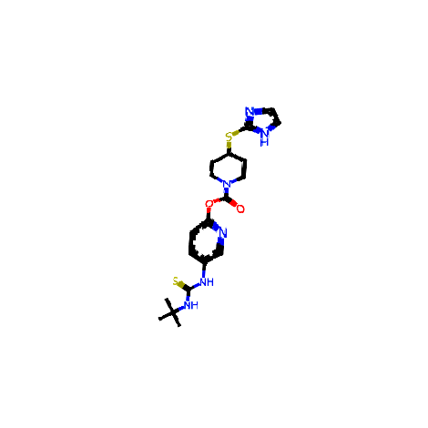 CC(C)(C)NC(=S)Nc1ccc(OC(=O)N2CCC(Sc3ncc[nH]3)CC2)nc1